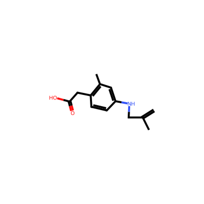 C=C(C)CNc1ccc(CC(=O)O)c(C)c1